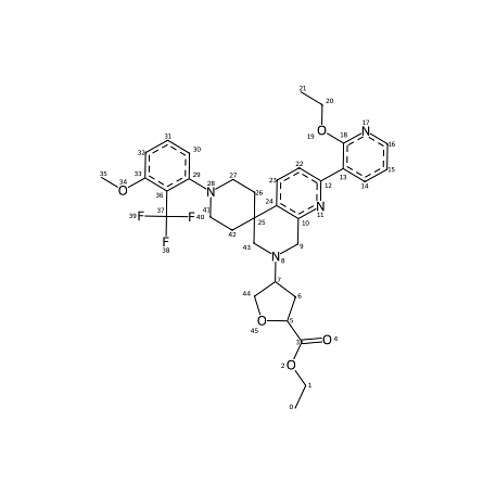 CCOC(=O)C1CC(N2Cc3nc(-c4cccnc4OCC)ccc3C3(CCN(c4cccc(OC)c4C(F)(F)F)CC3)C2)CO1